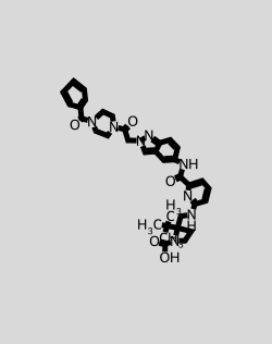 CC(C)(C)C1(CNc2cccc(C(=O)Nc3ccc4nn(CC(=O)N5CCN(C(=O)c6ccccc6)CC5)cc4c3)n2)CCN1C(=O)O